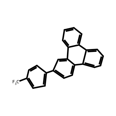 FC(F)(F)c1ccc(-c2ccc3c4ccccc4c4ccccc4c3c2)cc1